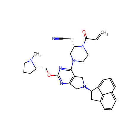 C=CC(=O)N1CCN(c2nc(OC[C@@H]3CCCN3C)nc3c2CN([C@@H]2Cc4cccc5cccc2c45)C3)C[C@@H]1CC#N